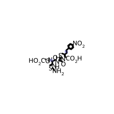 Nc1nc(/C(=N\OCC(=O)O)C(=O)NC2C(=O)N3C(C(=O)O)=C(/C=C/c4ccc([N+](=O)[O-])cc4)CS[C@H]23)cs1